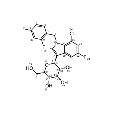 Cc1ccc(Cn2cc([C@@H]3O[C@H](CO)[C@@H](O)[C@H](O)[C@H]3O)c3cc(F)cc(Cl)c32)c(F)c1